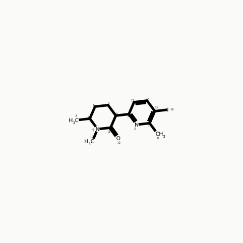 Cc1nc(C2CCC(C)N(C)C2=O)ccc1I